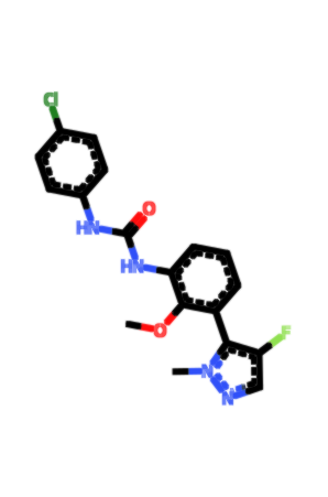 COc1c(NC(=O)Nc2ccc(Cl)cc2)cccc1-c1c(F)cnn1C